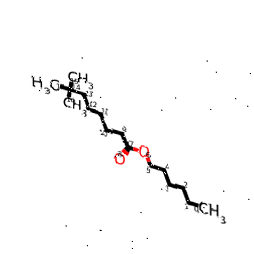 CCCCCCOC(=O)CCCCCC(C)(C)C